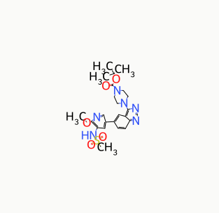 COc1ncc(-c2ccc3ncnc(N4CCN(C(=O)OC(C)(C)C)CC4)c3c2)cc1NS(C)(=O)=O